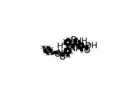 Cc1cc2c(cc1C(=O)O)NC(=O)C2=C(Nc1ccc(C(=O)NOCCN2CCN(C)CC2)c(C)c1)c1ccccc1